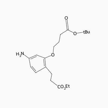 CCOC(=O)CCc1ccc(N)cc1OCCCC(=O)OC(C)(C)C